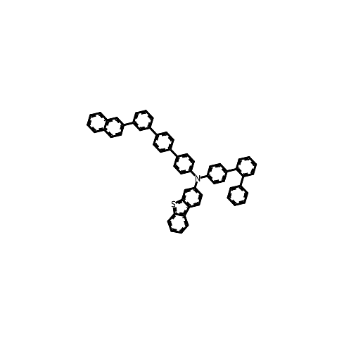 c1ccc(-c2ccccc2-c2ccc(N(c3ccc(-c4ccc(-c5cccc(-c6ccc7ccccc7c6)c5)cc4)cc3)c3ccc4c(c3)sc3ccccc34)cc2)cc1